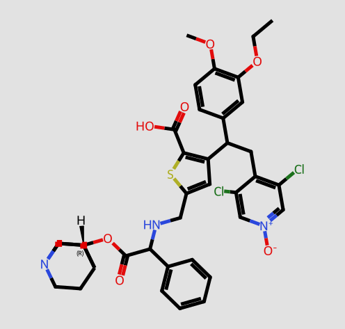 CCOc1cc(C(Cc2c(Cl)c[n+]([O-])cc2Cl)c2cc(CNC(C(=O)O[C@H]3CN4CCC3CC4)c3ccccc3)sc2C(=O)O)ccc1OC